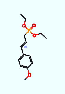 CCOP(=O)(C/C=C/c1ccc(OC)cc1)OCC